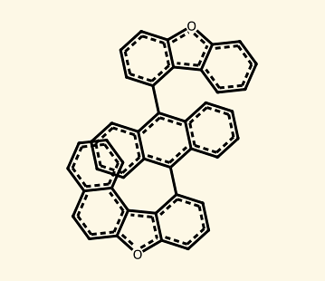 c1ccc2c(c1)ccc1oc3cccc(-c4c5ccccc5c(-c5cccc6oc7ccccc7c56)c5ccccc45)c3c12